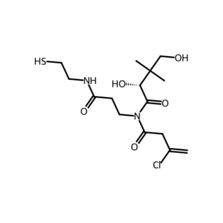 C=C(Cl)CC(=O)N(CCC(=O)NCCS)C(=O)[C@H](O)C(C)(C)CO